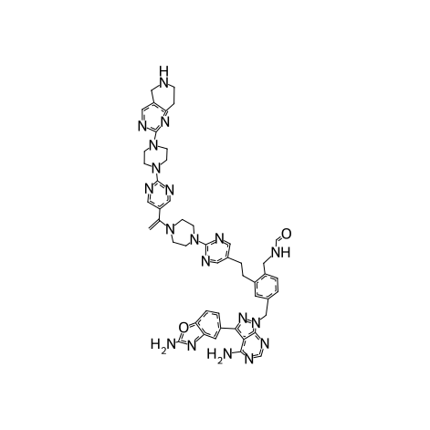 C=C(c1cnc(N2CCN(c3ncc4c(n3)CCNC4)CC2)nc1)N1CCN(c2ncc(CCc3cc(Cn4nc(-c5ccc6oc(N)nc6c5)c5c(N)ncnc54)ccc3CNC=O)cn2)CC1